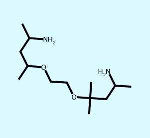 CC(N)CC(C)OCCOC(C)(C)CC(C)N